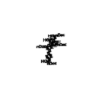 CCCCCCCCCCC(O)CN1CCN(CCN(CCN(CCN(CC(O)CCCCCCCCCC)CC(O)CCCCCCCCCC)CC(O)CCCCCCCCCC)CC(O)CCCCCCCCCC)CC1